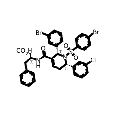 O=C(N[C@@H](Cc1ccccc1)C(=O)O)C1=CC[C@@H](c2cccc(Cl)c2)N(S(=O)(=O)c2ccc(Br)cc2)[C@H]1c1cccc(Br)c1